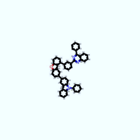 c1ccc(-c2nc(-c3cccc(-c4cccc5oc6ccc(-c7ccc8c(c7)c7ccccc7n8-c7ccccc7)cc6c45)c3)nc3ccccc23)cc1